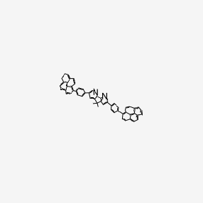 CC1(C)c2cc(-c3ccc(-c4ccc5ccc6cccc7ccc4c5c67)cc3)cnc2-c2ncc(-c3ccc(-c4ccc5ccc6cccc7ccc4c5c67)cc3)cc21